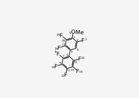 COc1c(F)cc(-c2c(F)c(F)c(F)c(F)c2F)c(F)c1F